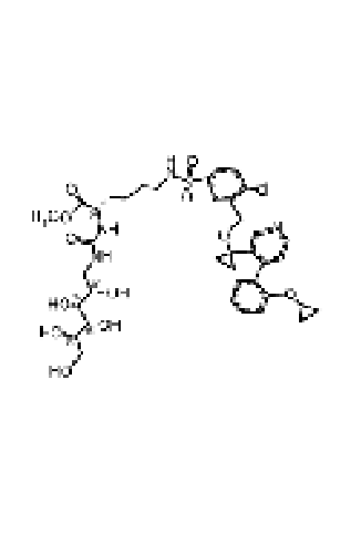 COC(=O)[C@H](CCCCNS(=O)(=O)c1ccc(Cl)c(COC2(c3cnccc3-c3ccccc3OC3CC3)CC2)c1)NC(=O)NC[C@H](O)[C@H](O)[C@H](O)[C@H](O)CO